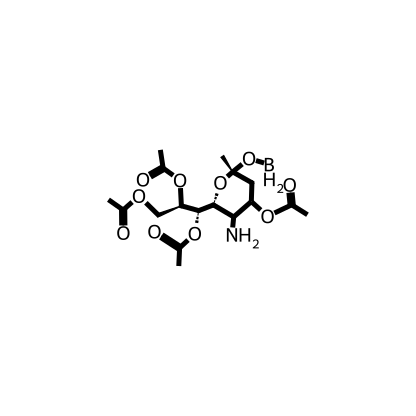 BO[C@]1(C)CC(OC(C)=O)C(N)[C@H]([C@H](OC(C)=O)[C@@H](COC(C)=O)OC(C)=O)O1